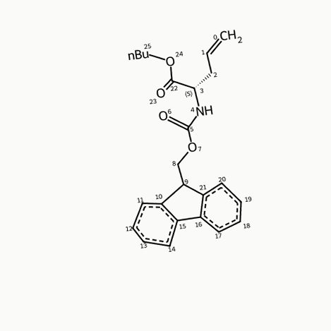 C=CC[C@H](NC(=O)OCC1c2ccccc2-c2ccccc21)C(=O)OCCCC